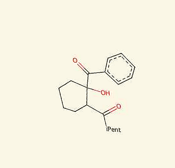 CCCC(C)C(=O)C1CCCCC1(O)C(=O)c1ccccc1